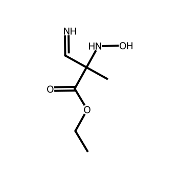 CCOC(=O)C(C)(C=N)NO